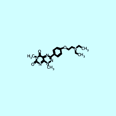 CCN(CC)CCOc1ccc(-c2nc3c(=O)n(C)c(=O)nc-3n(C)n2)cc1